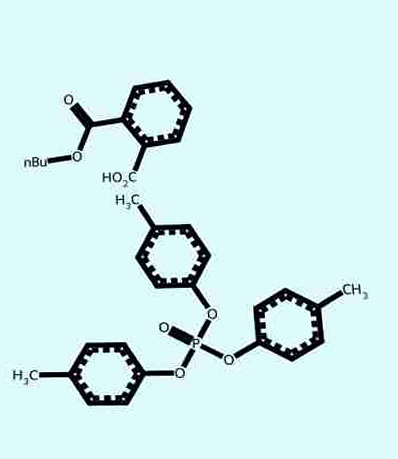 CCCCOC(=O)c1ccccc1C(=O)O.Cc1ccc(OP(=O)(Oc2ccc(C)cc2)Oc2ccc(C)cc2)cc1